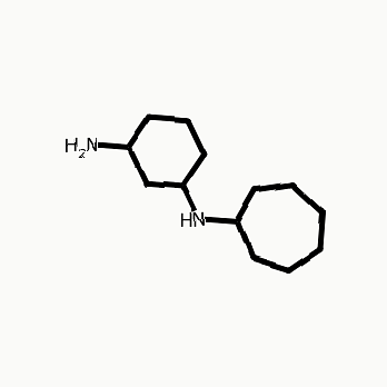 NC1CCCC(NC2CCCCCC2)C1